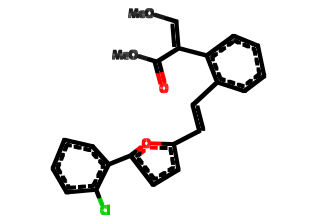 COC=C(C(=O)OC)c1ccccc1C=Cc1ccc(-c2ccccc2Cl)o1